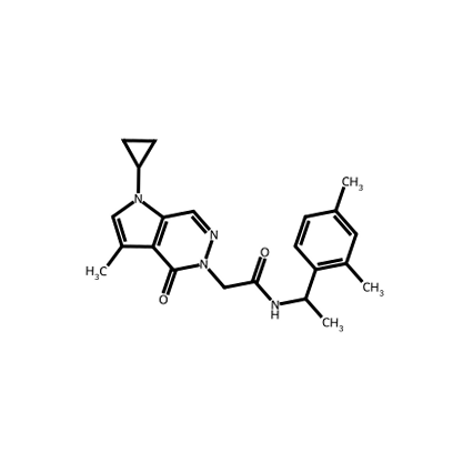 Cc1ccc(C(C)NC(=O)Cn2ncc3c(c(C)cn3C3CC3)c2=O)c(C)c1